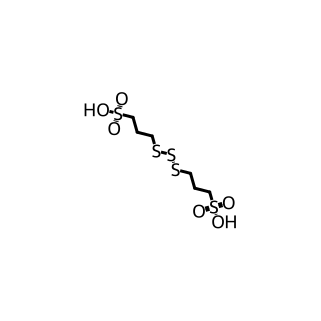 O=S(=O)(O)CCCSSSCCCS(=O)(=O)O